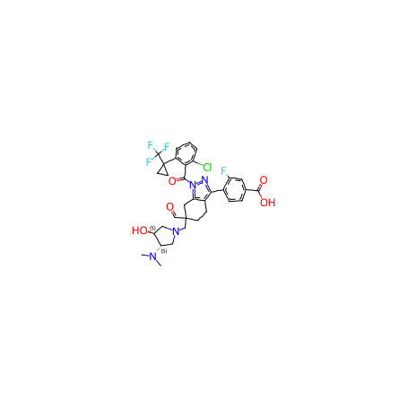 CN(C)[C@H]1CN(CC2(C=O)CCc3c(-c4ccc(C(=O)O)cc4F)nn(C(=O)c4c(Cl)cccc4C4(C(F)(F)F)CC4)c3C2)C[C@@H]1O